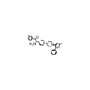 Cc1cc(N2CCN([C@H]3CC[C@@H]([C@H](N)C(=O)N4CCSC4)CC3)CC2)n(-c2ccccc2)n1